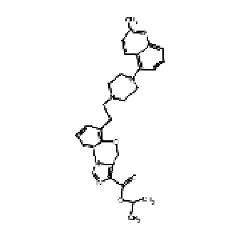 Cc1ccc2c(N3CCN(CCc4cccc5c4OCc4c(C(=O)OC(C)C)ncn4-5)CC3)cccc2n1